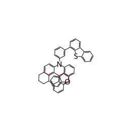 c1cc(-c2cccc3c2sc2ccccc23)cc(N(c2ccccc2-c2cccc3cccc(C4CCCCC4)c23)c2cccc3oc4ccccc4c23)c1